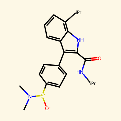 CC(C)NC(=O)c1[nH]c2c(C(C)C)cccc2c1-c1ccc([S+]([O-])N(C)C)cc1